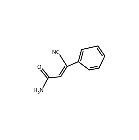 N#CC(=CC(N)=O)c1ccccc1